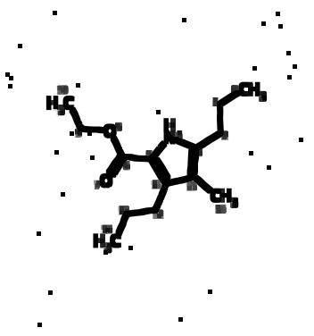 CCCc1[nH]c(C(=O)OCC)c(CCC)c1C